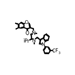 Cc1cc2occ(CN(C)CC(C(C)C)N(C)Cc3cn(-c4cccc(C(F)(F)F)c4)c4ccccc34)c(=O)c2cc1C